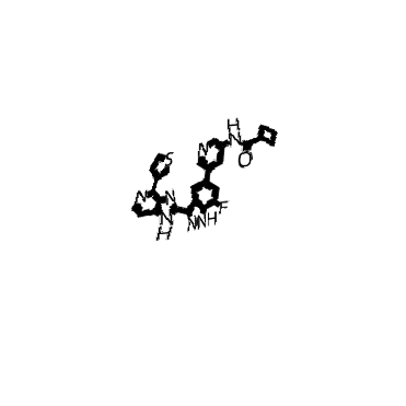 O=C(Nc1cncc(-c2cc(F)c3[nH]nc(-c4nc5c(-c6ccsc6)nccc5[nH]4)c3c2)c1)C1CCC1